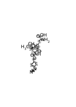 CC(C)(C)SSC[C@H](NC(=O)OCc1ccc(N=[N+]=[N-])cc1)C(=O)NCCCCC(N)C(=O)O